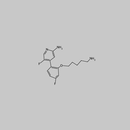 NCCCCCOc1cc(F)ccc1-c1cc(N)ncc1F